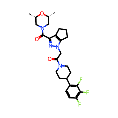 C[C@@H]1CN(C(=O)c2nn(CC(=O)N3CCC(c4ccc(F)c(F)c4F)CC3)c3c2CCC3)C[C@H](C)O1